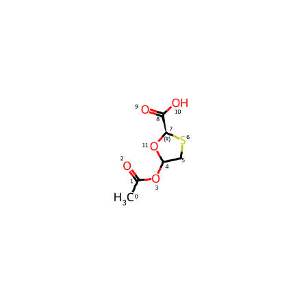 CC(=O)OC1CS[C@H](C(=O)O)O1